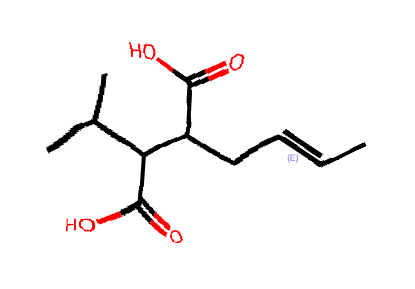 C/C=C/CC(C(=O)O)C(C(=O)O)C(C)C